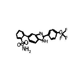 NS(=O)(=O)c1ccccc1-c1ccc2[nH]c(-c3ccc(OC(F)(F)F)cc3)nc2c1